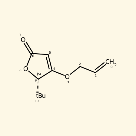 C=CCOC1=CC(=O)O[C@H]1C(C)(C)C